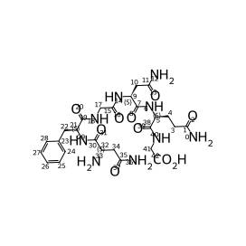 NC(=O)CC[C@H](NC(=O)[C@H](CC(N)=O)NC(=O)CNC(=O)[C@H](Cc1ccccc1)NC(=O)[C@@H](N)CC(N)=O)C(=O)NCC(=O)O